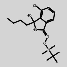 CCCCC1(O)NC(=NO[Si](C)(C)C(C)(C)C)c2cccc(Cl)c21